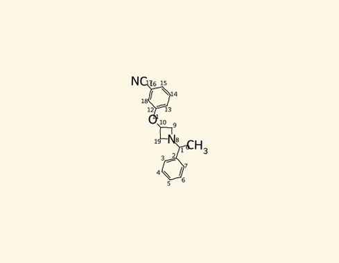 CC(c1ccccc1)N1CC(Oc2cccc(C#N)c2)C1